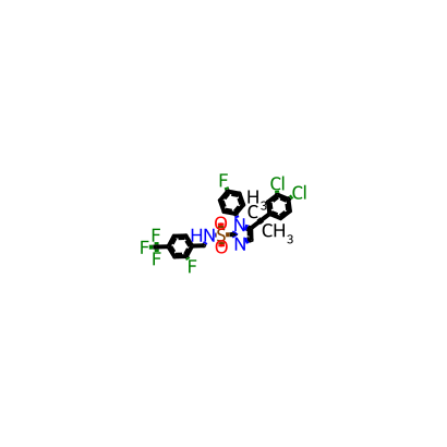 CC(C)(c1ccc(Cl)c(Cl)c1)c1cnc(S(=O)(=O)NCc2ccc(C(F)(F)F)cc2F)n1-c1ccc(F)cc1